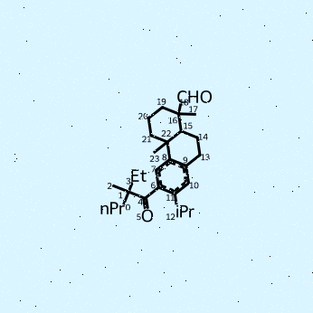 CCCC(C)(CC)C(=O)c1cc2c(cc1C(C)C)CCC1C(C)(C=O)CCCC21C